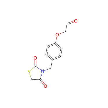 O=CCOc1ccc(CN2C(=O)CSC2=O)cc1